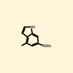 CNc1cc(C)c2cc[nH]c2c1